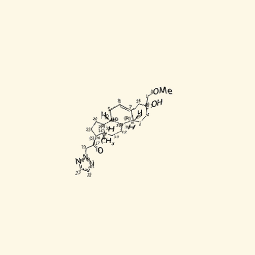 COC[C@@]1(O)CC[C@H]2C(=CC[C@@H]3[C@@H]2CC[C@]2(C)[C@@H](C(=O)Cn4nccn4)CC[C@@H]32)C1